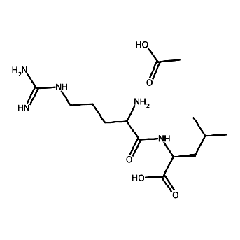 CC(=O)O.CC(C)C[C@H](NC(=O)C(N)CCCNC(=N)N)C(=O)O